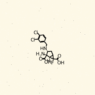 N[C@]1(C(=O)O)[C@H]2C(C[C@H]1NCc1ccc(Cl)c(Cl)c1)[C@]2(F)C(=O)O